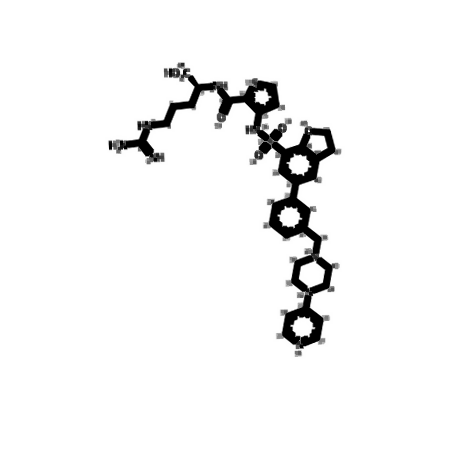 N=C(N)NCCC[C@H](NC(=O)c1sccc1NS(=O)(=O)c1cc(-c2cccc(CN3CCN(c4ccncc4)CC3)c2)cc2c1OCC2)C(=O)O